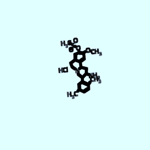 COc1cc2c(cc1OS(C)(=O)=O)CCN1CC(c3cc(C)ccc3C)C(N)CC21.Cl